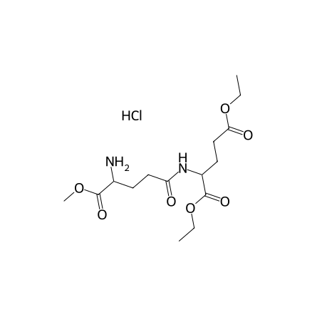 CCOC(=O)CCC(NC(=O)CCC(N)C(=O)OC)C(=O)OCC.Cl